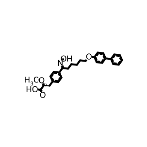 CO[C@@H](Cc1ccc(C(CCCCCOc2ccc(-c3ccccc3)cc2)=NO)cc1)C(=O)O